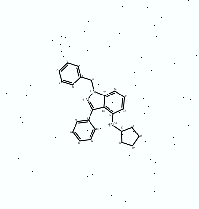 c1ccc(Cn2nc(-c3ccccc3)c3c(NC4CCCC4)cccc32)cc1